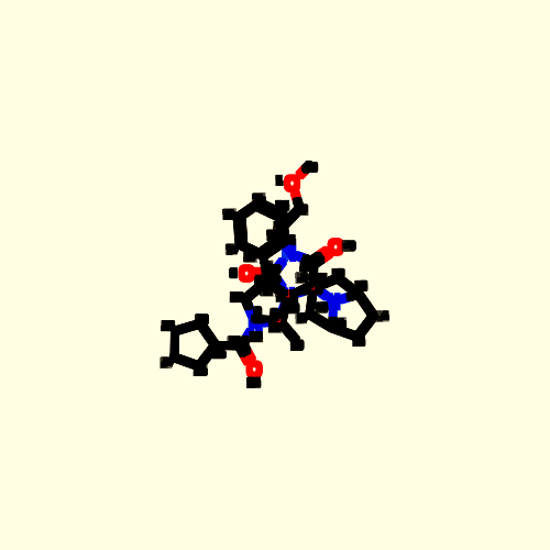 COCCN1C(=O)N(C(C)C)C2(CC3CCC(C2)N3C[C@H]2CN(C(=O)C3CCCC3)C[C@@H]2c2ccccc2)C1=O